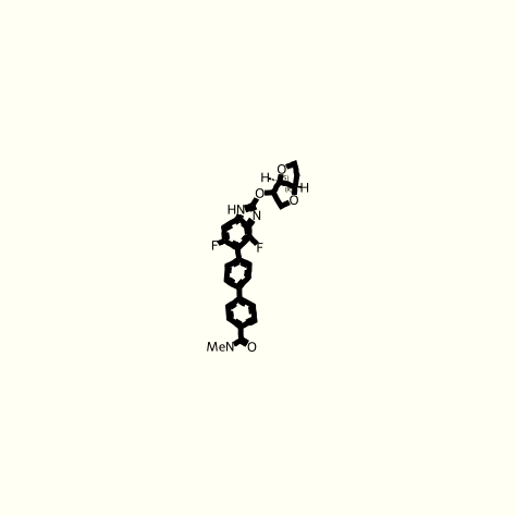 CNC(=O)c1ccc(-c2ccc(-c3c(F)cc4[nH]c(OC5CO[C@@H]6CCO[C@H]56)nc4c3F)cc2)cc1